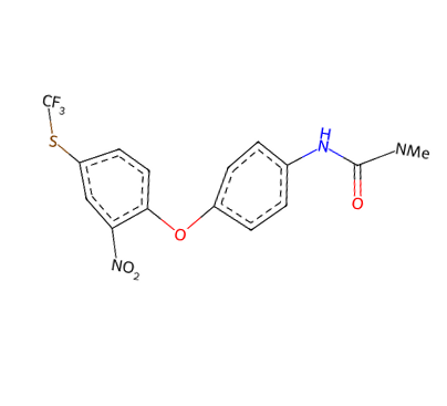 CNC(=O)Nc1ccc(Oc2ccc(SC(F)(F)F)cc2[N+](=O)[O-])cc1